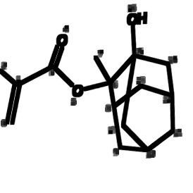 C=C(C)C(=O)OC1(C)C2CC3CC(C2)CC1(O)C3